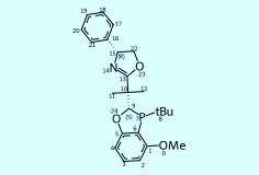 COc1cccc2c1P(C(C)(C)C)[C@@H](C(C)(C)C1=N[C@H](c3ccccc3)CO1)O2